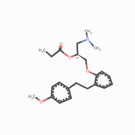 CCC(=O)O[C@H](COc1ccccc1CCc1ccc(OC)cc1)CN(C)C